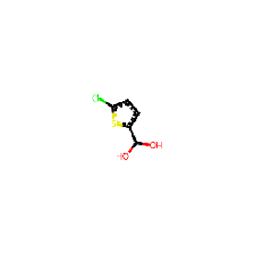 OC(O)c1ccc(Cl)s1